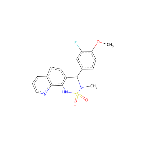 COc1ccc(C2c3ccc4cccnc4c3NS(=O)(=O)N2C)cc1F